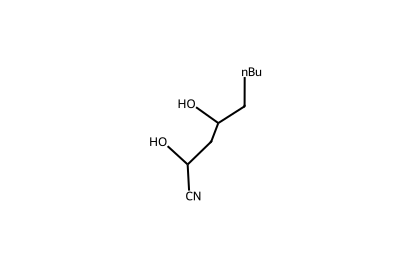 CCCCCC(O)CC(O)C#N